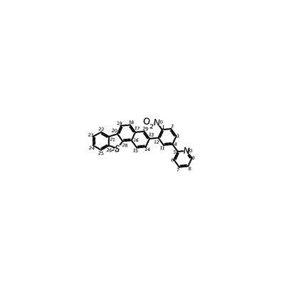 O=[N+]([O-])c1ccc(-c2ccccn2)cc1-c1ccc2c(ccc3c4ccccc4sc23)c1